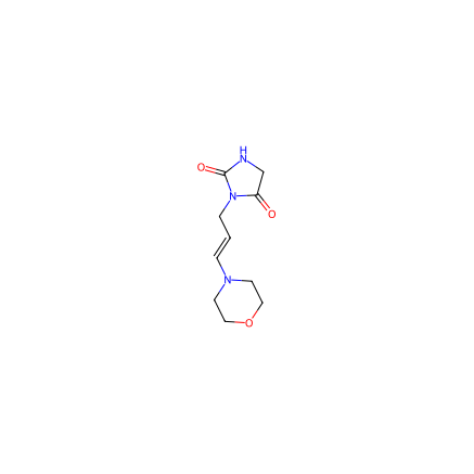 O=C1CNC(=O)N1CC=CN1CCOCC1